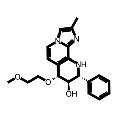 COCCO[C@@H]1c2ccn3cc(C)nc3c2N[C@H](c2ccccc2)[C@H]1O